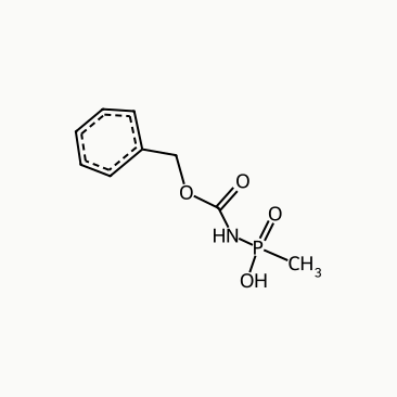 CP(=O)(O)NC(=O)OCc1ccccc1